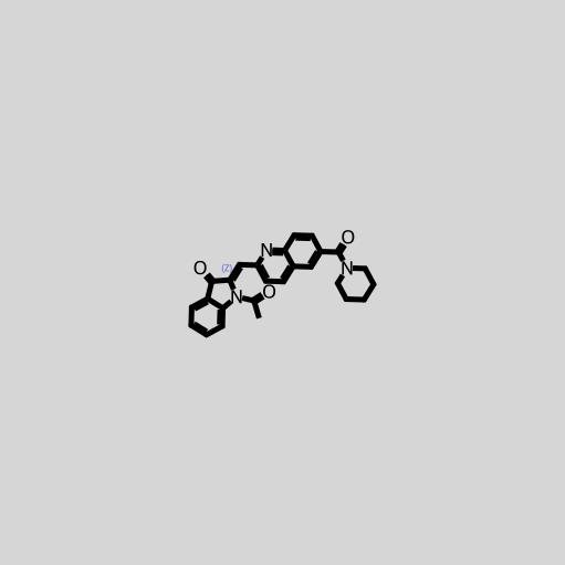 CC(=O)N1/C(=C\c2ccc3cc(C(=O)N4CCCCC4)ccc3n2)C(=O)c2ccccc21